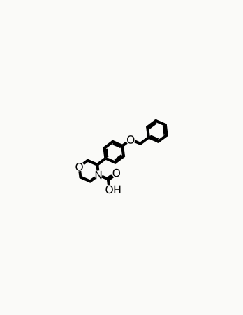 O=C(O)N1CCOCC1c1ccc(OCc2ccccc2)cc1